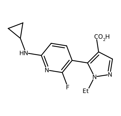 CCn1ncc(C(=O)O)c1-c1ccc(NC2CC2)nc1F